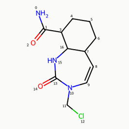 NC(=O)C1CCCC2C=CN(CCl)C(=O)NC21